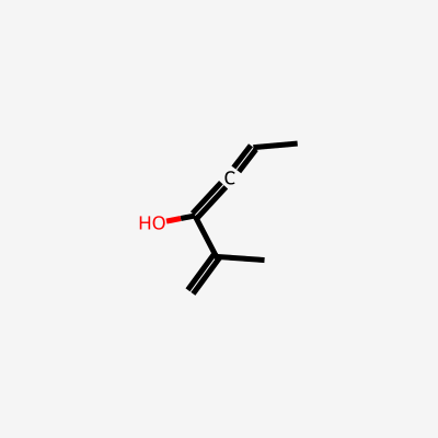 C=C(C)C(O)=C=CC